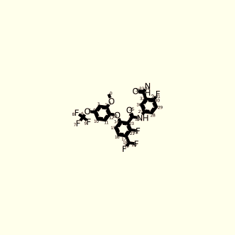 COc1cc(OC(F)(F)F)ccc1Oc1ccc(C(F)F)c(F)c1C(=O)Nc1ccc(F)c(C(N)=O)c1